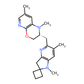 Cc1cnc2c(c1)N(C)[C@H](Cc1nc3c(cc1C)N(C)C1(CCC1)C3)CO2